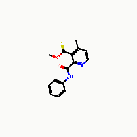 COC(=S)c1c(C)ccnc1C(=O)Nc1ccccc1